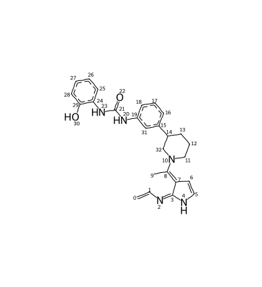 C=C/N=C1/NC=C/C1=C(/C)N1CCCC(c2cccc(NC(=O)Nc3ccccc3O)c2)C1